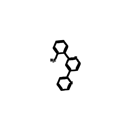 Cc1ccccc1-c1cc(-c2ccccn2)ccn1